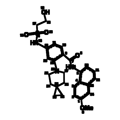 COc1ccc2c(NC(=O)c3ccc(NS(=O)(=O)CCO)cc3N3CCC4(CC3)CC4)cccc2c1